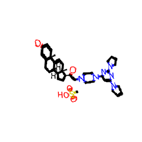 CS(=O)(=O)O.C[C@]12C=CC(=O)C=C1CC[C@@H]1C2=CC[C@]2(C)[C@@H](C(=O)CN3CCN(c4cc(N5CCCC5)nc(N5CCCC5)n4)CC3)CC[C@@H]12